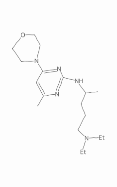 CCN(CC)CCCC(C)Nc1nc(C)cc(N2CCOCC2)n1